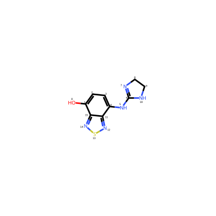 Oc1ccc(NC2=NCCN2)c2nsnc12